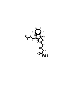 CCCC[N+]1=C(C)C(C)(CCCCCC(=O)O)c2ccccc21